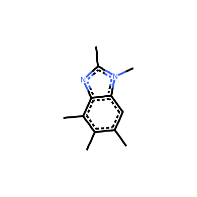 Cc1cc2c(nc(C)n2C)c(C)c1C